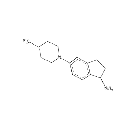 NC1CCc2cc(N3CCC(C(F)(F)F)CC3)ccc21